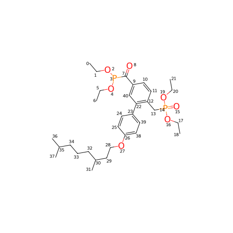 CCOP(OCC)C(=O)c1ccc(CP(=O)(OCC)OCC)c(-c2ccc(OCCC(C)CCCC(C)C)cc2)c1